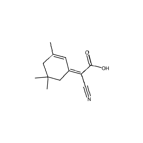 CC1=CC(=C(C#N)C(=O)O)CC(C)(C)C1